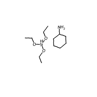 CCO[SiH](OCC)OCC.NC1CCCCC1